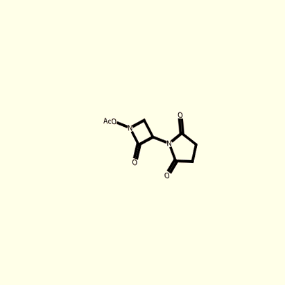 CC(=O)ON1CC(N2C(=O)CCC2=O)C1=O